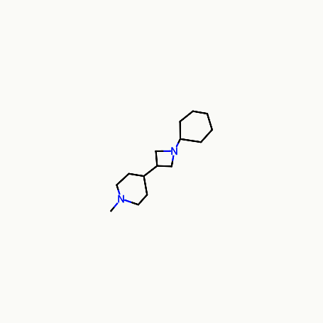 CN1CCC(C2CN(C3CCCCC3)C2)CC1